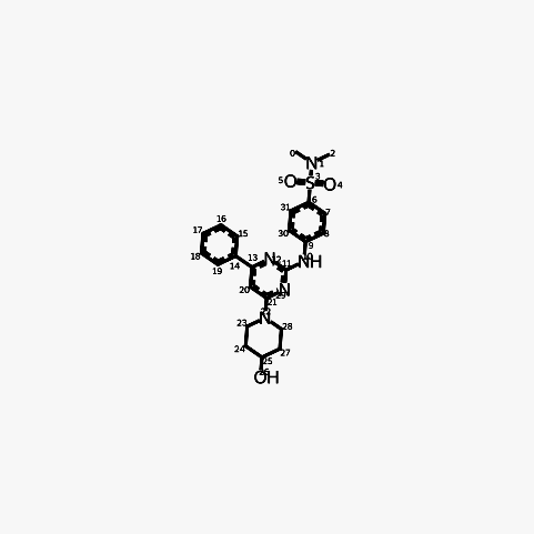 CN(C)S(=O)(=O)c1ccc(Nc2nc(-c3ccccc3)cc(N3CCC(O)CC3)n2)cc1